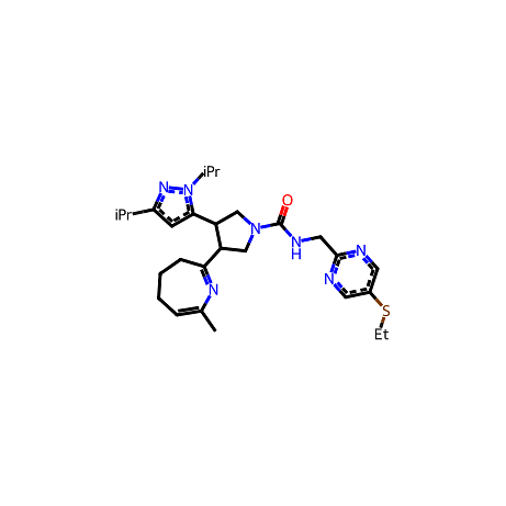 CCSc1cnc(CNC(=O)N2CC(C3=NC(C)=CCCC3)C(c3cc(C(C)C)nn3C(C)C)C2)nc1